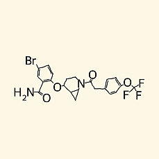 NC(=O)c1cc(Br)ccc1OC1CCN(C(=O)Cc2ccc(OC(F)(F)F)cc2)C2CC12